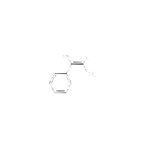 CC(C)=C(Cl)c1ccccc1